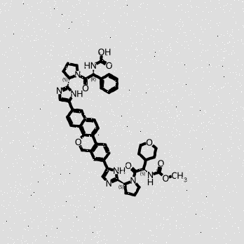 COC(=O)N[C@H](C(=O)N1CCC[C@H]1c1ncc(-c2ccc3c(c2)COc2c-3ccc3cc(-c4cnc([C@@H]5CCCN5C(=O)[C@H](NC(=O)O)c5ccccc5)[nH]4)ccc23)[nH]1)C1CCOCC1